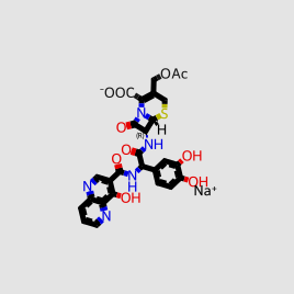 CC(=O)OCC1=C(C(=O)[O-])N2C(=O)[C@@H](NC(=O)C(NC(=O)c3cnc4cccnc4c3O)c3ccc(O)c(O)c3)[C@H]2SC1.[Na+]